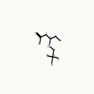 C=C(C)CC(CC)SCC(C)(C)C